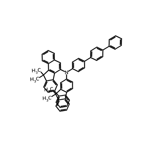 CC1(C)c2ccccc2-c2ccc(N(c3ccc(-c4ccc(-c5ccccc5)cc4)cc3)c3cc4ccccc4c4c3-c3cc(-c5ccccc5)ccc3C4(C)C)cc21